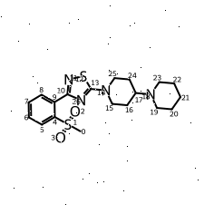 CS(=O)(=O)c1ccccc1-c1nsc(N2CCC(N3CCCCC3)CC2)n1